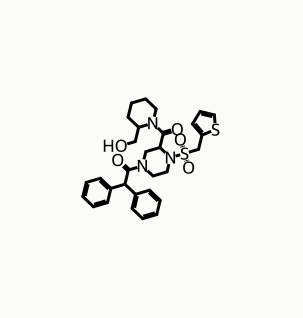 O=C(C(c1ccccc1)c1ccccc1)N1CCN(S(=O)(=O)Cc2cccs2)C(C(=O)N2CCCCC2CO)C1